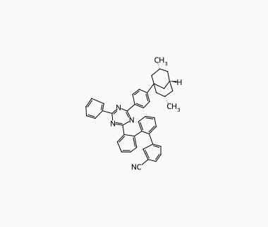 C[C@@H]1C[C@@H]2C[C@H](C)CC(c3ccc(-c4nc(-c5ccccc5)nc(-c5ccccc5-c5ccccc5-c5cccc(C#N)c5)n4)cc3)(C1)C2